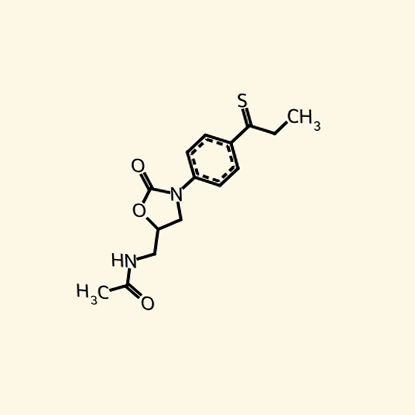 CCC(=S)c1ccc(N2CC(CNC(C)=O)OC2=O)cc1